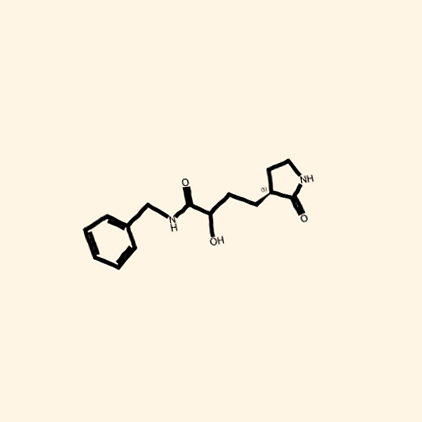 O=C(NCc1ccccc1)C(O)CC[C@H]1CCNC1=O